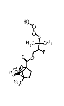 CC(C)(SOOO)C(F)COC(=O)C12CCC(C)(C(=O)O1)C2(C)C